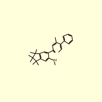 C=C(/C=C(C)\C(=C/C)c1ccccc1)c1cc2c(cc1PC)C(C)(C)C(C)(C)C2(C)C